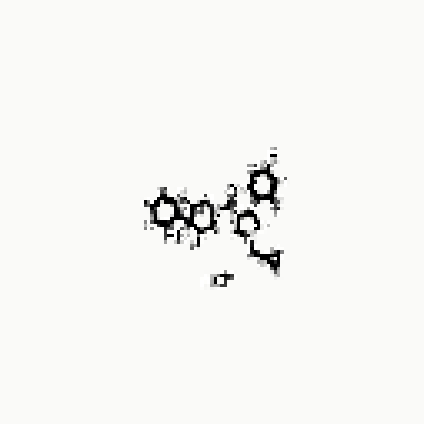 C[C@@H]1CN(C(=O)[C@@H]2CN(CC3CC3)C[C@H]2c2ccc(F)cc2F)C[C@H](C)C1(O)c1ccccc1.Cl